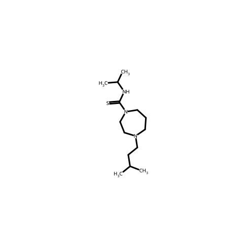 CC(C)CCN1CCCN(C(=S)NC(C)C)CC1